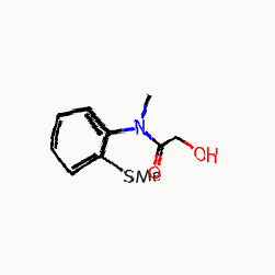 CSc1ccccc1N(C)C(=O)CO